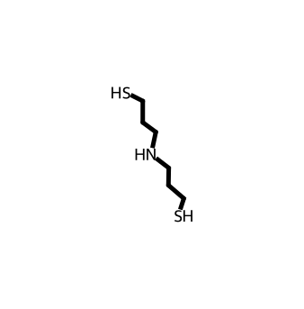 SCCCNCCCS